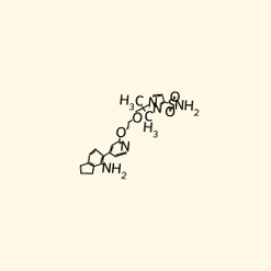 CC(C)(COCCOc1cc(-c2ccc3c(c2N)CCC3)ccn1)n1ccc(S(N)(=O)=O)n1